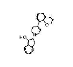 O[C@@H]1c2ccccc2C[C@H]1N1CC=C(c2cccc3c2OCCO3)CC1